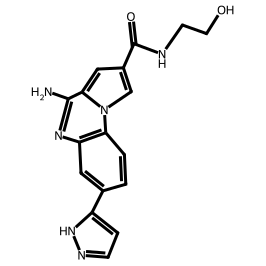 Nc1nc2cc(-c3ccn[nH]3)ccc2n2cc(C(=O)NCCO)cc12